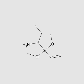 C=C[Si](OC)(OC)C(N)CC